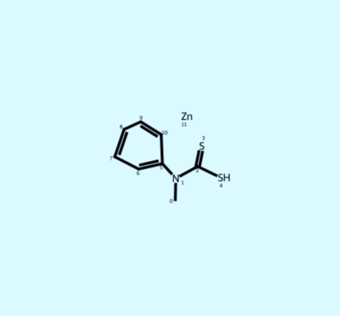 CN(C(=S)S)c1ccccc1.[Zn]